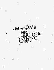 COC(CNC(=O)Nc1c2c(nn1-c1cc(C)cc(C)c1)CCN(C(=O)OC(C)(C)C)C2)OC